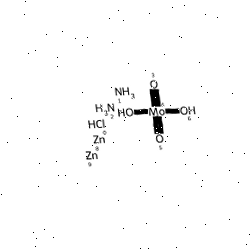 Cl.N.N.[O]=[Mo](=[O])([OH])[OH].[Zn].[Zn]